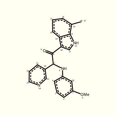 COc1cccc(NC(C(=O)c2c[nH]c3c(F)cccc23)c2cccnc2)c1